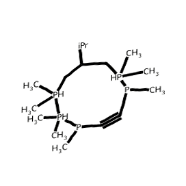 CC(C)C1C[PH](C)(C)P(C)C#CP(C)[PH](C)(C)[PH](C)(C)C1